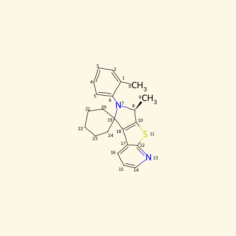 Cc1ccccc1N1[C@@H](C)c2sc3ncccc3c2C12CCCCC2